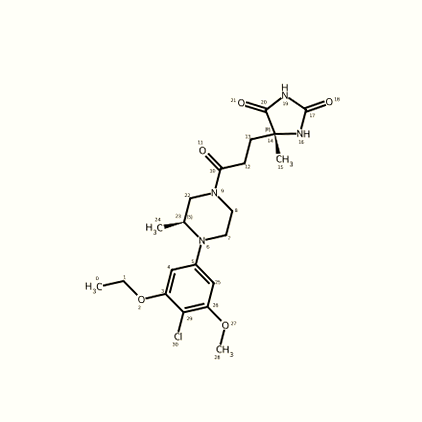 CCOc1cc(N2CCN(C(=O)CC[C@@]3(C)NC(=O)NC3=O)C[C@@H]2C)cc(OC)c1Cl